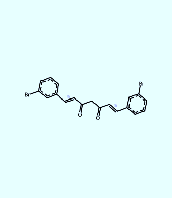 O=C(/C=C/c1cccc(Br)c1)CC(=O)/C=C/c1cccc(Br)c1